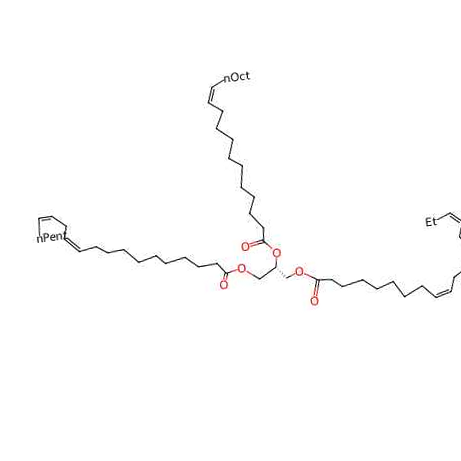 CC/C=C\C/C=C\C/C=C\CCCCCCCC(=O)OC[C@H](COC(=O)CCCCCCCCC/C=C\C/C=C\CCCCC)OC(=O)CCCCCCCCC/C=C\CCCCCCCC